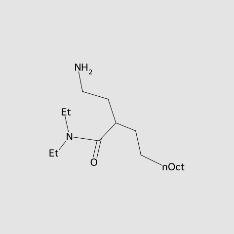 CCCCCCCCCCC(CCN)C(=O)N(CC)CC